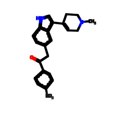 CN1CC=C(c2c[nH]c3ccc(CC(=O)c4ccc([N+](=O)[O-])cc4)cc23)CC1